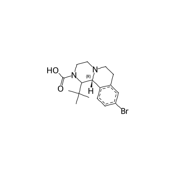 CC(C)(C)C1[C@H]2c3ccc(Br)cc3CCN2CCN1C(=O)O